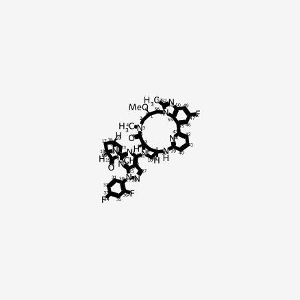 CO[C@H]1CN(C)C(=O)[C@@H]2C[C@@H](CN2c2nc(N3[C@@H]4C[C@H]3C(=O)N(C)C4)nc3c2cnn3-c2ccc(F)cc2F)Nc2cccc(n2)-c2cc(F)cc3nc(C)n(c23)C1